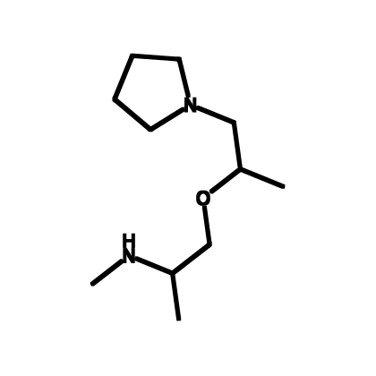 CNC(C)COC(C)CN1CCCC1